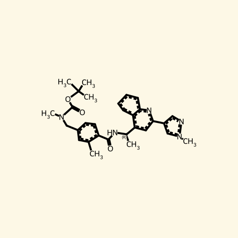 Cc1cc(CN(C)C(=O)OC(C)(C)C)ccc1C(=O)N[C@H](C)c1cc(-c2cnn(C)c2)nc2ccccc12